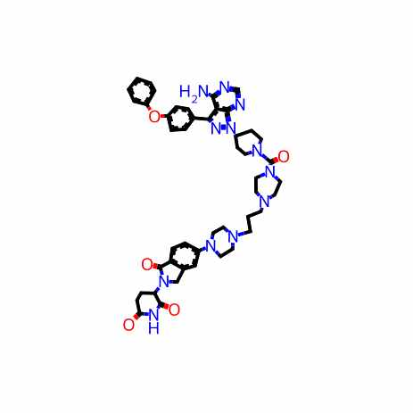 Nc1ncnc2c1c(-c1ccc(Oc3ccccc3)cc1)nn2C1CCN(C(=O)N2CCN(CCCN3CCN(c4ccc5c(c4)CN(C4CCC(=O)NC4=O)C5=O)CC3)CC2)CC1